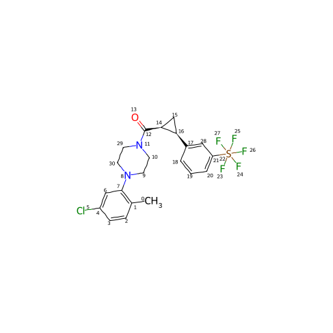 Cc1ccc(Cl)cc1N1CCN(C(=O)[C@H]2C[C@H]2c2cccc(S(F)(F)(F)(F)F)c2)CC1